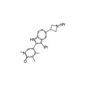 CCCN1CC(c2ccc3[nH]c(-c4cn(C)c(=O)c(C)c4C)c(C(C)C)c3c2)C1